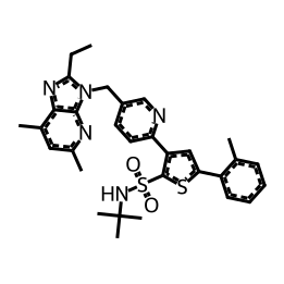 CCc1nc2c(C)cc(C)nc2n1Cc1ccc(-c2cc(-c3ccccc3C)sc2S(=O)(=O)NC(C)(C)C)nc1